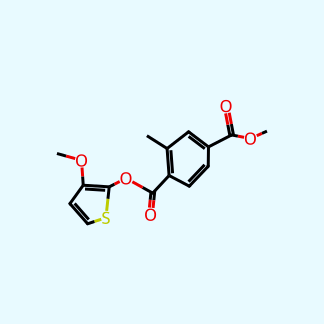 COC(=O)c1ccc(C(=O)Oc2sccc2OC)c(C)c1